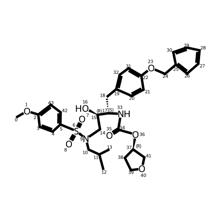 COc1ccc(S(=O)(=O)N(CC(C)C)C[C@@H](O)[C@H](Cc2ccc(OCc3ccccc3)cc2)NC(=O)O[C@@H]2CCOC2)cc1